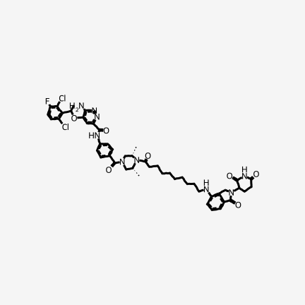 CC(Oc1cc(C(=O)Nc2ccc(C(=O)N3C[C@@H](C)N(C(=O)CCCCCCCCCNc4cccc5c4CN(C4CCC(=O)NC4=O)C5=O)[C@@H](C)C3)cc2)nnc1N)c1c(Cl)ccc(F)c1Cl